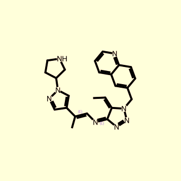 CC=C1/C(=N\C=C(/C)c2cnn(C3CCNC3)c2)N=NN1Cc1ccc2ncccc2c1